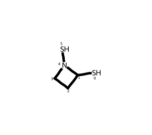 SC1CCN1S